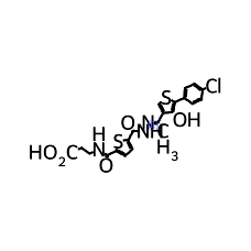 C/C(=N\NC(=O)c1ccc(C(=O)NCCC(=O)O)s1)c1csc(-c2ccc(Cl)cc2)c1O